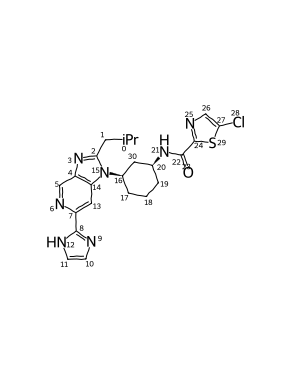 CC(C)Cc1nc2cnc(-c3ncc[nH]3)cc2n1[C@@H]1CCC[C@H](NC(=O)c2ncc(Cl)s2)C1